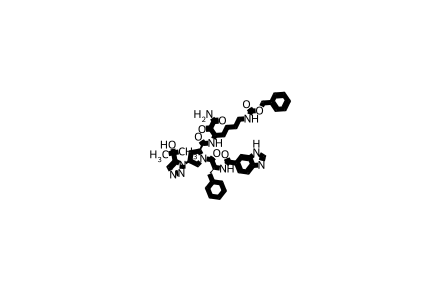 CC(C)(O)c1cnnn1[C@H]1C[C@@H](C(=O)NC(CCCCNC(=O)OCc2ccccc2)C(=O)C(N)=O)N(C(=O)[C@@H](CC2CCCCC2)NC(=O)c2ccc3nc[nH]c3c2)C1